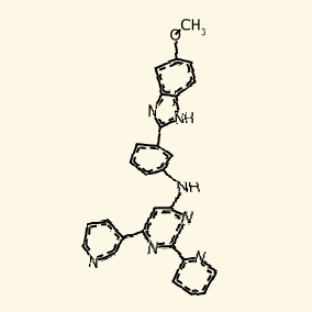 COc1ccc2[nH]c(-c3cccc(Nc4cc(-c5cccnc5)nc(-c5ccccn5)n4)c3)nc2c1